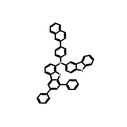 c1ccc(-c2cc(-c3ccccc3)c3sc4c(N(c5ccc(-c6ccc7ccccc7c6)cc5)c5ccc6sc7ccccc7c6c5)cccc4c3c2)cc1